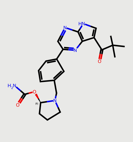 CC(C)(C)C(=O)c1c[nH]c2ncc(-c3cccc(CN4CCC[C@H]4OC(N)=O)c3)nc12